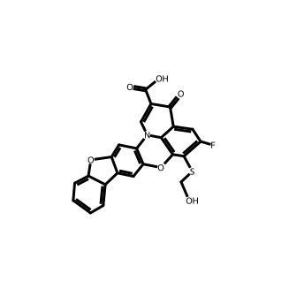 O=C(O)c1cn2c3c(c(SCO)c(F)cc3c1=O)Oc1cc3c(cc1-2)oc1ccccc13